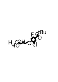 CC(O)(O)CCCCOc1cc(F)c(C(=O)OC(C)(C)C)cc1Cl